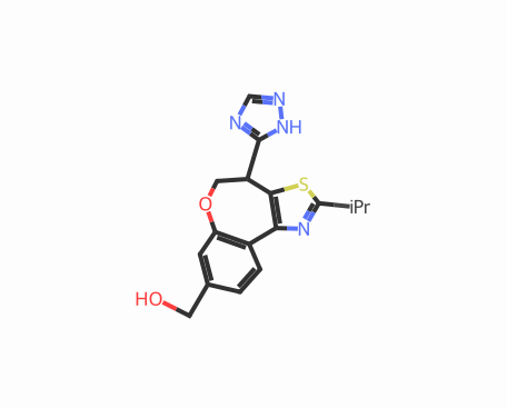 CC(C)c1nc2c(s1)C(c1ncn[nH]1)COc1cc(CO)ccc1-2